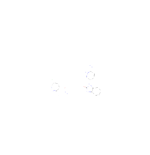 COCCNc1ccc(-n2c(=O)n(CC3CCC(NC(=O)c4cc(Cl)cnc4C(F)(F)F)CC3)c3ccccc32)cn1